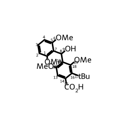 COc1cccc(OC)c1C(O)c1c(OC)cc(C(=O)O)c(C(C)(C)C)c1OC